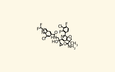 C[C@]1(C(N)=O)COc2c1cc(C(O)(CNC(=O)c1cc(Cl)c3nn(C(F)F)cc3c1)C1CC1)nc2-c1ccc(F)c(Cl)c1F